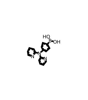 OB(O)c1ccc(N(c2ccccn2)c2ccccn2)cc1